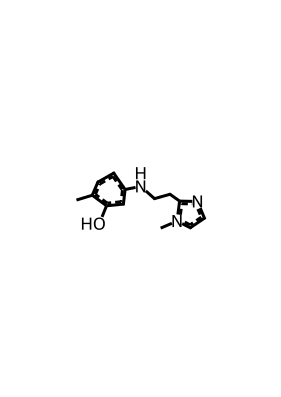 Cc1ccc(NCCc2nccn2C)cc1O